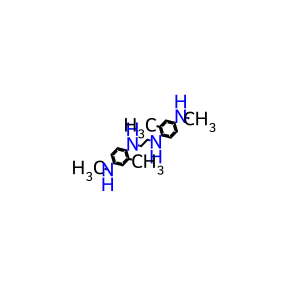 CNc1ccc(NCCNc2ccc(NC)cc2C)c(C)c1